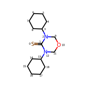 S=C1N(C2CCCCC2)COCN1C1CCCCC1